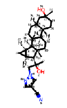 CC(O)(Cn1cc(C#N)cn1)[C@H]1[C@H]2C[C@H]2[C@H]2[C@@H]3CC[C@@H]4C[C@](C)(O)CC[C@@H]4[C@H]3CC[C@@]21C